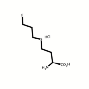 Cl.N[C@@H](CCSCCCF)C(=O)O